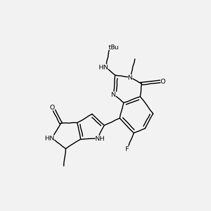 CC1NC(=O)c2cc(-c3c(F)ccc4c(=O)n(C)c(NC(C)(C)C)nc34)[nH]c21